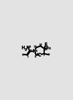 C/C=C(\N)N1CCC(C)C(F)(F)CC1